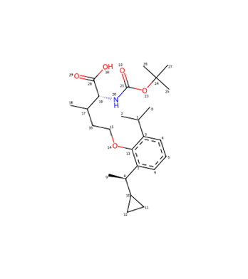 CC(C)c1cccc([C@H](C)C2CC2)c1OCCC(C)[C@@H](NC(=O)OC(C)(C)C)C(=O)O